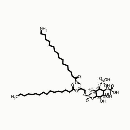 CCCCCCCCCCCCCCCC(=O)O[C@H](COC(=O)CCCCCCCCCCCCCCCN)COP(=O)(O)OC1C(O)[C@@H](OP(=O)(O)O)C(OP(=O)(O)O)[C@@H](O)[C@H]1O